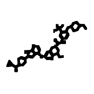 CCC1CN(C(=O)Nc2ccc(CN3CCN(CC)CC3)c(C(F)(F)F)c2)Cc2cc(Oc3ccnc4[nH]c(C5=CCN(C(=O)C6CC6)CC5)cc34)cnc21